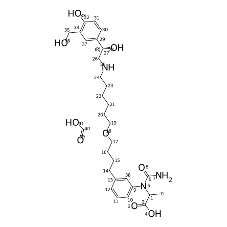 CC(C(=O)O)N(C(N)=O)c1cccc(CCCCOCCCCCCNC[C@H](O)c2ccc(O)c(CO)c2)c1.O=CO